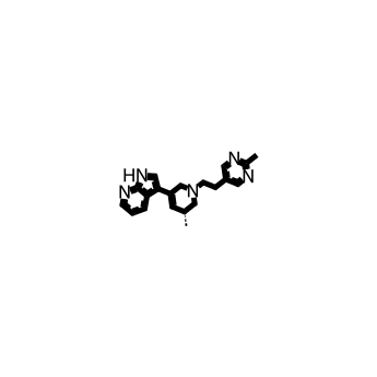 Cc1ncc(CCN2CC(c3c[nH]c4ncccc34)=C[C@@H](C)C2)cn1